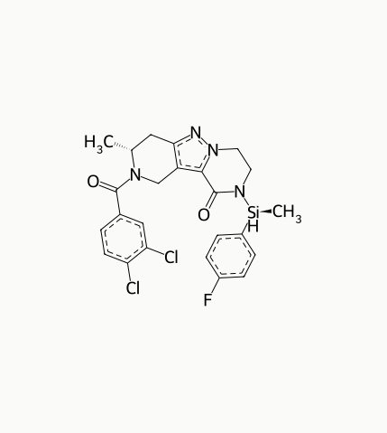 C[C@@H]1Cc2nn3c(c2CN1C(=O)c1ccc(Cl)c(Cl)c1)C(=O)N([Si@@H](C)c1ccc(F)cc1)CC3